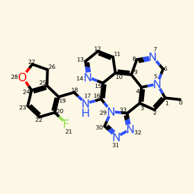 Cc1cc2c3n1CN=CC3=c1cccnc1=C(NCc1c(F)ccc3c1CCO3)n1cnnc1-2